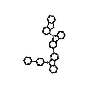 c1ccc(-c2ccc(-n3c4ccccc4c4ccc(-c5ccc6c(c5)c5ccccc5n6-c5cccc6c5Cc5ccccc5-6)cc43)cc2)cc1